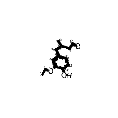 CCOc1cc(CC(C)CC=O)ccc1O